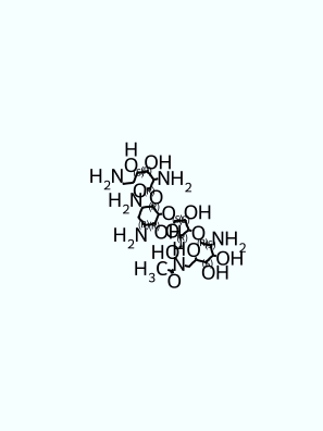 CC(=O)NCC1O[C@H](OC2[C@@H](CO)O[C@@H](OC3[C@H](O[C@H]4OC(CN)[C@@H](O)[C@H](O)C4N)C(N)C[C@@H](N)[C@H]3O)[C@H]2O)[C@@H](N)C(O)[C@@H]1O